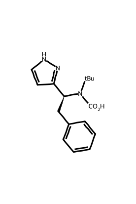 CC(C)(C)N(C(=O)O)[C@@H](Cc1ccccc1)c1cc[nH]n1